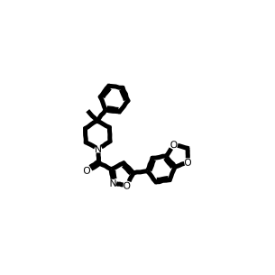 CC1(c2ccccc2)CCN(C(=O)c2cc(-c3ccc4c(c3)OCO4)on2)CC1